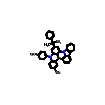 CC(C)(C)C1=CC=C(N2c3ccc(C(C)(C)C)cc3B3c4c2cc(C(C)(C)C2=CC=CCC2)cc4-n2c4c(c5cccc3c52)CCC=C4)CC1